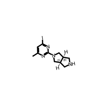 Cc1cc(I)nc(N2C[C@H]3CNC[C@H]3C2)n1